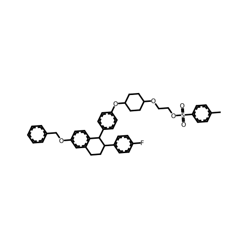 Cc1ccc(S(=O)(=O)OCCOC2CCC(Oc3ccc(C4c5ccc(OCc6ccccc6)cc5CCC4c4ccc(F)cc4)cc3)CC2)cc1